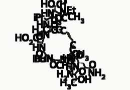 CC[C@H](C)[C@@H]1NC(=O)[C@H](C)NC(=O)[C@@](C)(NC(=O)[C@H](CCC(N)=O)NC(=O)[C@H](N)[C@@H](C)O)CCC/C=C/CCC[C@@](C)(C(=O)NC(C(=O)N[C@H](C(=O)NC(C)(C)CC)[C@@H](C)O)C(C)C)NC(=O)[C@H](CC(=O)O)NC1=O